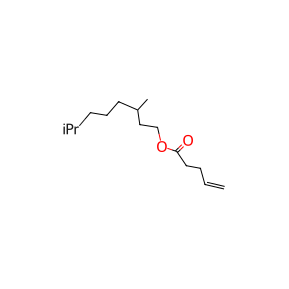 C=CCCC(=O)OCCC(C)CCCC(C)C